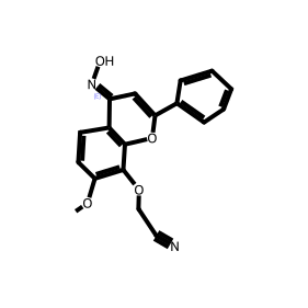 COc1ccc2/c(=N/O)cc(-c3ccccc3)oc2c1OCC#N